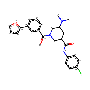 CN(C)C1CC(C(=O)Nc2ccc(Cl)cc2)CN(C(=O)c2cccc(-c3ccco3)c2)C1